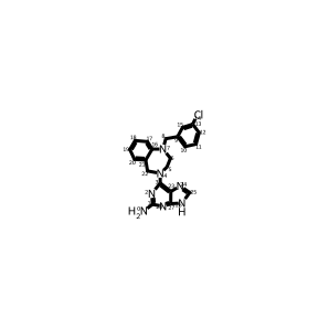 Nc1nc(N2CCN(Cc3cccc(Cl)c3)c3ccccc3C2)c2nc[nH]c2n1